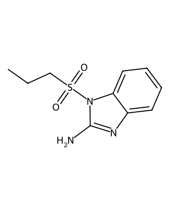 CCCS(=O)(=O)n1c(N)nc2ccccc21